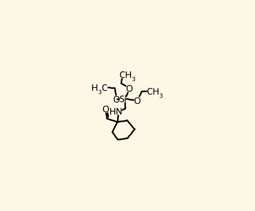 CCO[Si](CNC1(C=O)CCCCC1)(OCC)OCC